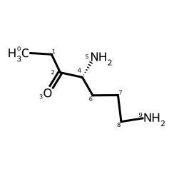 CCC(=O)[C@H](N)CCCN